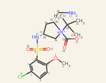 COc1ccc(Cl)cc1S(=O)(=O)N[C@@H]1C[C@H](CN)[N+](C(=O)[O-])(C(C)(C)C)C1